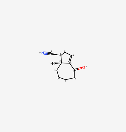 N#C[C@H]1CC=C2C(=O)CCCC[C@@H]21